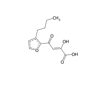 CCCCc1ccoc1C(=O)/C=C(\O)C(=O)O